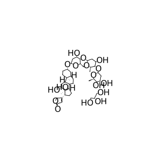 C[C@H]1O[C@@H](O[C@H]2[C@@H](O)C[C@H](O[C@H]3[C@@H](O)C[C@H](O[C@H]4CC[C@@]5(C)[C@H](CC[C@@H]6[C@@H]5C[C@@H](O)[C@]5(C)[C@@H](C7=CC(=O)OC7)CC[C@]65O)C4)O[C@@H]3C)O[C@@H]2C)C[C@H](O)[C@@H]1O.OCC(O)CO